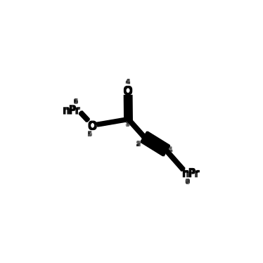 CCCC#CC(=O)OCCC